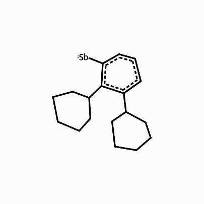 [Sb][c]1cccc(C2CCCCC2)c1C1CCCCC1